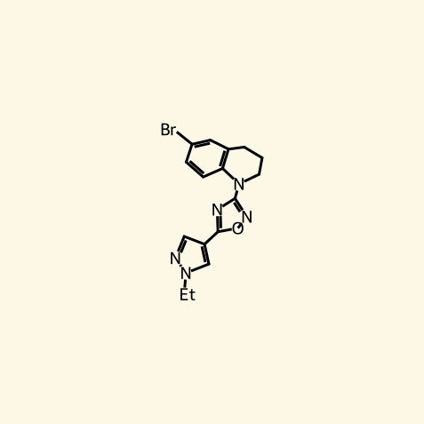 CCn1cc(-c2nc(N3CCCc4cc(Br)ccc43)no2)cn1